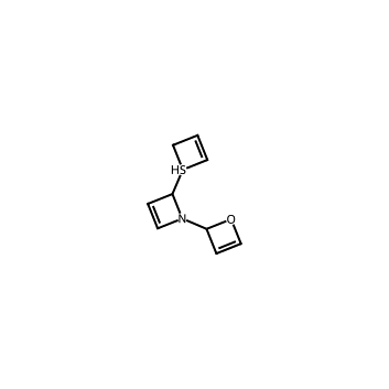 C1=C[SH](C2C=CN2C2C=CO2)C1